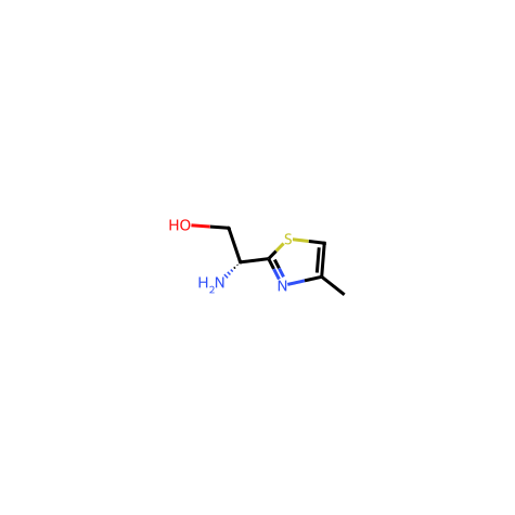 Cc1csc([C@H](N)CO)n1